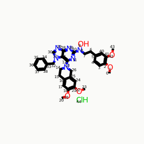 COc1ccc(CCN(O)c2nc(N3CCc4cc(OC)c(OC)cc4C3)c3c(ncn3Cc3ccccc3)n2)cc1OC.Cl